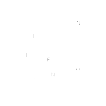 O=C(c1cnccc1C(F)(F)F)N1CCC1